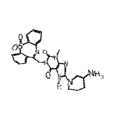 CCn1c(N2CCCC(N)C2)nc2c1c(=O)n(CC1=Nc3ccccc3S(=O)(=O)c3ccccc31)c(=O)n2C